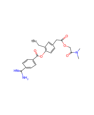 CN(C)C(=O)COC(=O)Cc1ccc(OC(=O)c2ccc(C(=N)N)cc2)c(CC(C)(C)C)c1